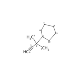 C#CC(C)(C)C1CCCCC1